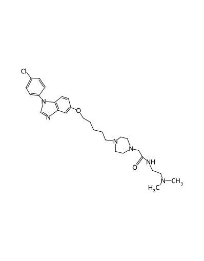 CN(C)CCNC(=O)CN1CCN(CCCCCOc2ccc3c(c2)ncn3-c2ccc(Cl)cc2)CC1